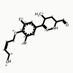 CC1CC(C=O)NN=C1c1cc(F)c(OC/C=C\CO)c(Br)c1